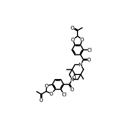 CC(=O)C1Oc2ccc(C(=O)N3CC4(C)CN(C(=O)c5ccc6c(c5Cl)OC(C(C)=O)O6)CC(C)(C3)C4=O)c(Cl)c2O1